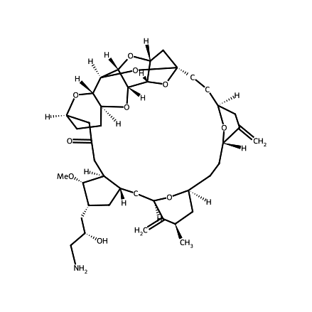 C=C1C[C@@H]2CC[C@@]34C[C@H]5O[C@H]6[C@@H](O3)[C@H]3O[C@H](CC[C@@H]3O[C@H]6[C@H]5O4)CC(=O)C[C@H]3[C@@H](C[C@H](C[C@H](O)CN)[C@@H]3OC)C[C@H]3O[C@@H](CC[C@@H]1O2)C[C@@H](C)C3=C